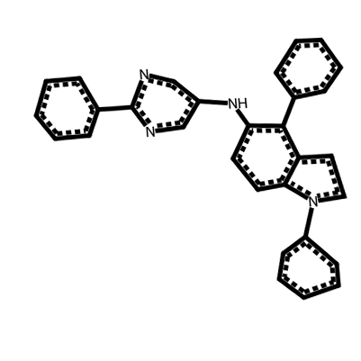 c1ccc(-c2ncc(Nc3ccc4c(ccn4-c4ccccc4)c3-c3ccccc3)cn2)cc1